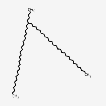 [CH2]CCCC[C](CCCCCCCCCCCCCCCCCCCCCCCCCCCC)CCCCCCCCCCCCCCCCCCCCCCCCCCCC